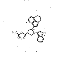 C=C(C)OC(=O)N1C[C@@H](c2c[nH]c3ccccc23)[C@H](c2cn3c4c(cccc24)CCC3)C1